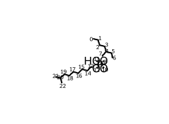 CCCCC(CC)COP(=O)(O)OCCCCCCCC(C)C